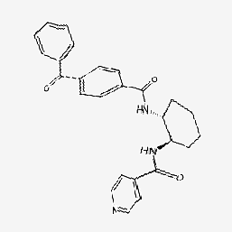 O=C(N[C@@H]1CCCC[C@H]1NC(=O)c1ccc(C(=O)c2ccccc2)cc1)c1ccncc1